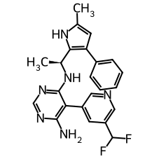 Cc1cc(-c2ccccc2)c([C@H](C)Nc2ncnc(N)c2-c2cncc(C(F)F)c2)[nH]1